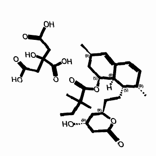 CCC(C)(C)C(=O)O[C@H]1C[C@@H](C)C=C2C=C[C@H](C)[C@H](CC[C@@H]3C[C@@H](O)CC(=O)O3)[C@H]21.O=C(O)CC(O)(CC(=O)O)C(=O)O